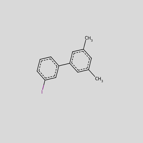 Cc1cc(C)cc(-c2cccc(I)c2)c1